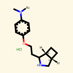 CC(=O)N(C)c1ccc(OCCC2NC[C@H]3CC[C@@H]23)cc1.Cl